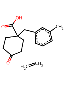 C=C.Cc1cccc(CC2(C(=O)O)CCC(=O)CC2)c1